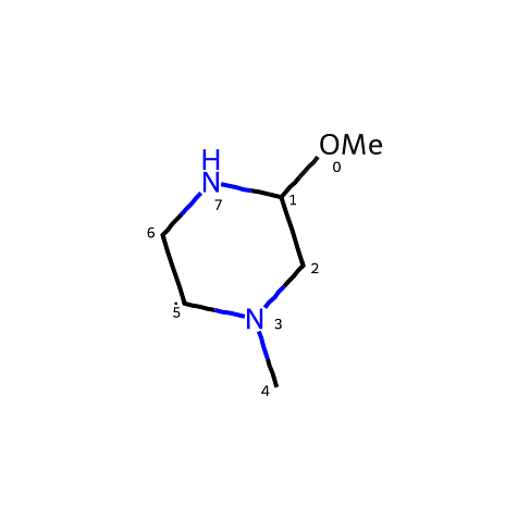 COC1CN(C)[CH]CN1